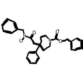 O=C(CC1(c2ccccc2)CCN(C(=O)OCc2ccccc2)CC1)N(Cl)Cc1ccccc1